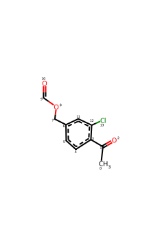 CC(=O)c1ccc(COC=O)cc1Cl